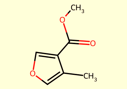 COC(=O)c1cocc1C